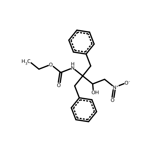 CCOC(=O)NC(Cc1ccccc1)(Cc1ccccc1)C(O)C[N+](=O)[O-]